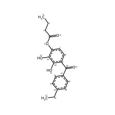 CCCC(=O)Oc1ccc(C(=O)c2ccc(CC)cc2)c(O)c1O